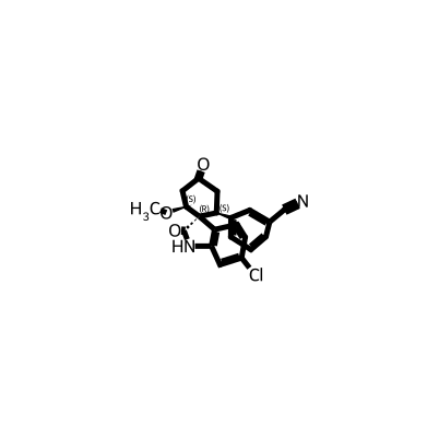 CO[C@H]1CC(=O)C[C@@H](c2cccc(C#N)c2)[C@]12C(=O)Nc1cc(Cl)ccc12